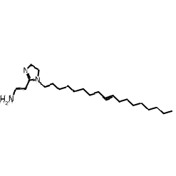 CCCCCCCCC=CCCCCCCCCN1CCN=C1CCN